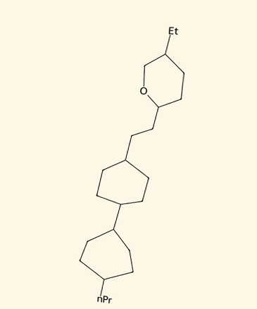 CCCC1CCC(C2CCC(CCC3CCC(CC)CO3)CC2)CC1